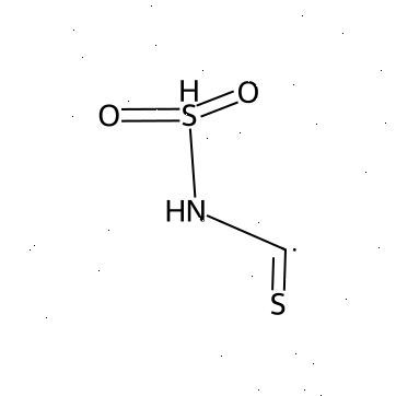 O=[SH](=O)N[C]=S